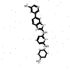 N#Cc1cncc(-c2ccc3nc(Nc4cccc(N[C@H]5CC[C@H](O)CC5)n4)sc3c2)c1